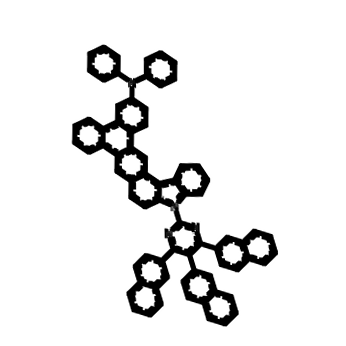 c1ccc(N(c2ccccc2)c2ccc3c(c2)c2ccccc2c2cc4ccc5c(c4cc32)c2ccccc2n5-c2nc(-c3ccc4ccccc4c3)c(-c3ccc4ccccc4c3)c(-c3ccc4ccccc4c3)n2)cc1